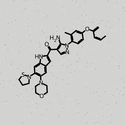 C=C(/C=C\C)Oc1ccc(-n2ncc(C(=O)c3cc4cc(N5CCOCC5)c(N5CCCS5)cc4[nH]3)c2N)c(C)c1